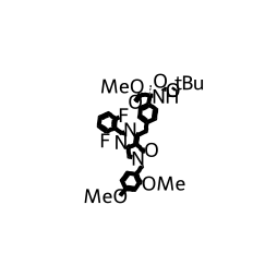 COC(=O)[C@@](C)(NC(=O)OC(C)(C)C)c1ccc(Cc2nc(-c3c(F)cccc3F)nc3c2C(=O)N(Cc2ccc(OC)cc2OC)C3)cc1